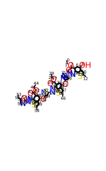 CCOC(=O)c1cc(O)c2cc(C)sc2c1/N=N/c1cc(Oc2cc(C(=O)OCC)c(/N=N/c3cc(Oc4cc(C(=O)OCC)c(/N=N/c5ncc(CC)o5)c5sc(C)cc45)ns3)c3sc(C)cc23)nn1C